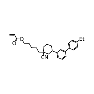 C=CC(=O)OCCCCCC1(C#N)CCCC(c2cccc(-c3ccc(CC)cc3)c2)C1